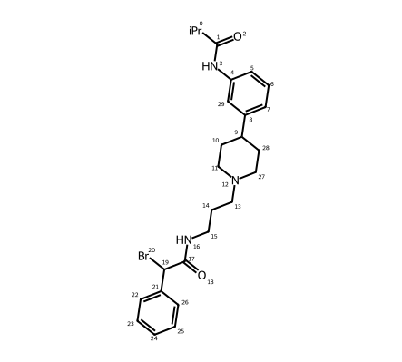 CC(C)C(=O)Nc1cccc(C2CCN(CCCNC(=O)C(Br)c3ccccc3)CC2)c1